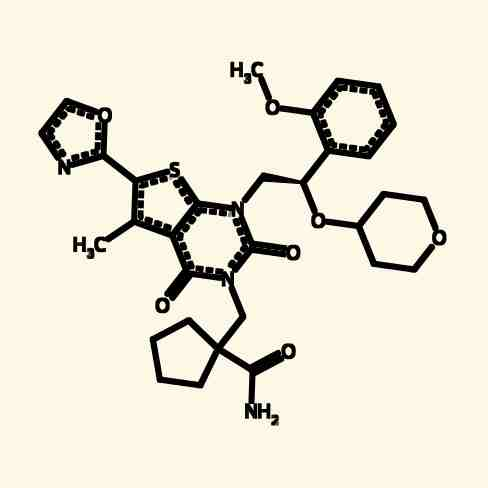 COc1ccccc1[C@H](Cn1c(=O)n(CC2(C(N)=O)CCCC2)c(=O)c2c(C)c(-c3ncco3)sc21)OC1CCOCC1